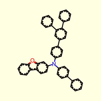 c1ccc(-c2ccc(N(c3ccc(-c4ccc(-c5ccccc5)c(-c5ccccc5)c4)cc3)c3ccc4c(c3)oc3ccccc34)cc2)cc1